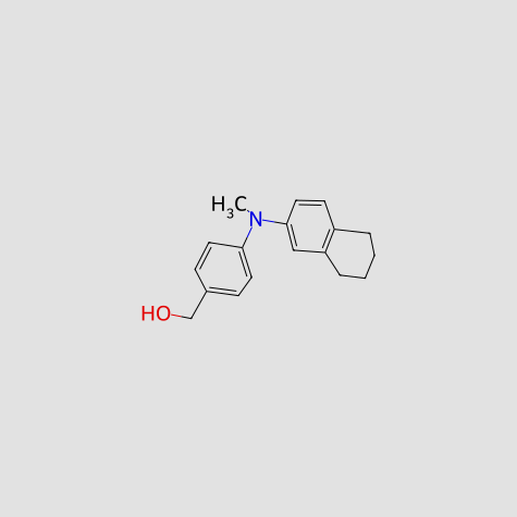 CN(c1ccc(CO)cc1)c1ccc2c(c1)CCCC2